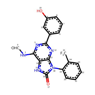 O=[C]Nc1nc(-c2cccc(O)c2)nc2c1[nH]c(=O)n2-c1ccccc1C(F)(F)F